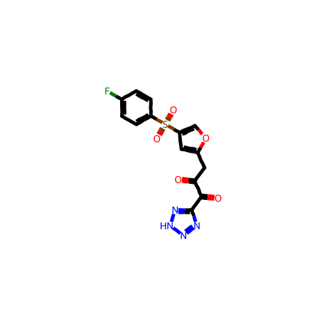 O=C(Cc1cc(S(=O)(=O)c2ccc(F)cc2)co1)C(=O)c1nn[nH]n1